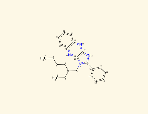 CCCCC(CC)Cn1c(-c2ccccc2)nc2nc3ccccc3nc21